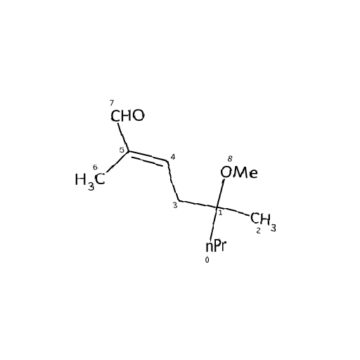 CCCC(C)(CC=C(C)C=O)OC